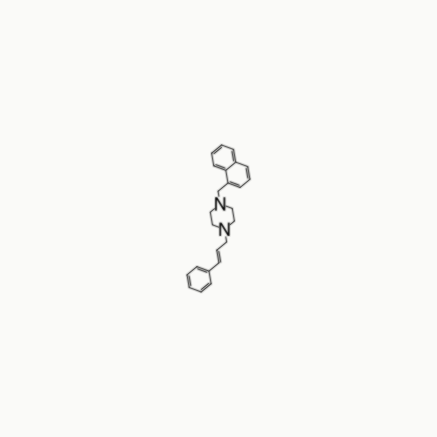 C(=C\c1ccccc1)/CN1CCN(Cc2cccc3ccccc23)CC1